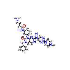 CN(C)C/C=C/C(=O)Nc1cccc(N2C(=O)N(Cc3ccccc3)Cc3cnc(Nc4cnc(N5CCN(C)CC5)nc4)nc32)c1